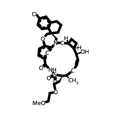 COCCOCC[C@@H]1[C@H](C)C/C=C\[C@H](O)[C@@H]2CC[C@H]2CN2C[C@@]3(CCCc4cc(Cl)ccc43)COc3ccc(cc32)C(=O)NS1(=O)=O